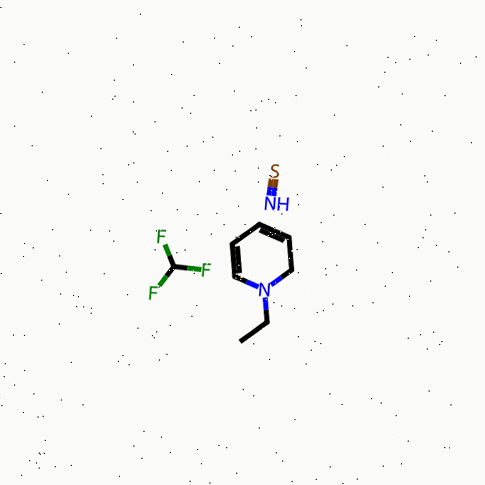 CCN1C=CC=CC1.FC(F)F.N=S